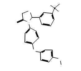 COc1ccc(Oc2ccc(N3C(=O)CSC3c3cccc(C(F)(F)F)c3)cc2)cc1